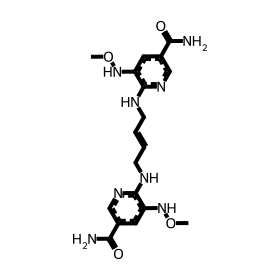 CONc1cc(C(N)=O)cnc1NC/C=C/CNc1ncc(C(N)=O)cc1NOC